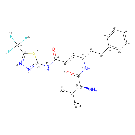 CC(C)[C@H](N)C(=O)N[C@H](C=CC(=O)Nc1nnc(C(F)(F)F)s1)CCc1ccccc1